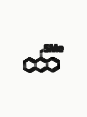 CSCc1c2ccccc2cc2ccccc12